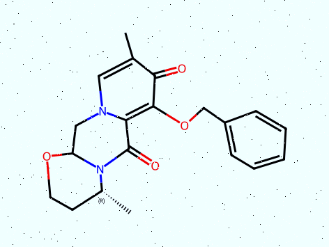 Cc1cn2c(c(OCc3ccccc3)c1=O)C(=O)N1C(C2)OCC[C@H]1C